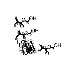 C=C(C)C(=O)OCO.C=C(C)C(=O)OCO.C=C(C)C(=O)OCO.CCCO.CCCO.CCCO.CCCO.CCCO.CCCO